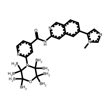 BC1(B)OC(B)(B)C(B)(B)N(c2cc(C(=O)Nc3cc4cc(-c5cncn5C)ccc4cn3)ccn2)C1(B)B